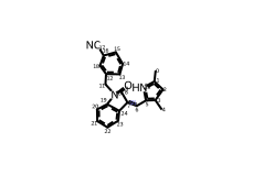 Cc1cc(C)c(/C=C2\C(=O)N(Cc3cccc(C#N)c3)c3ccccc32)[nH]1